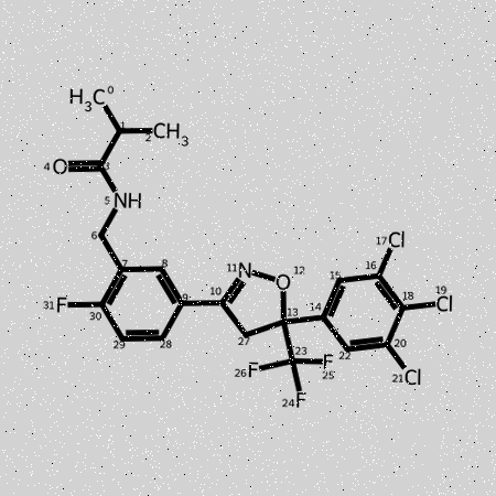 CC(C)C(=O)NCc1cc(C2=NOC(c3cc(Cl)c(Cl)c(Cl)c3)(C(F)(F)F)C2)ccc1F